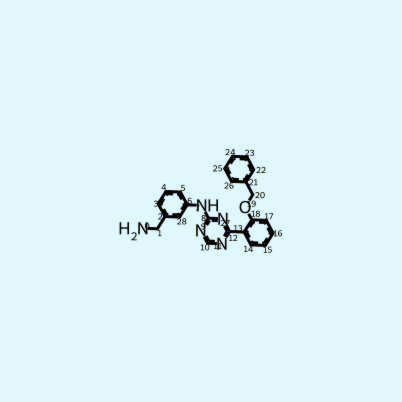 NCc1cccc(Nc2ncnc(-c3ccccc3OCc3ccccc3)n2)c1